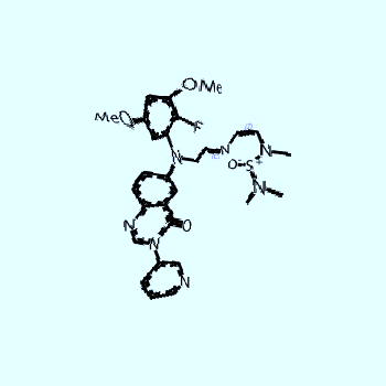 COc1cc(OC)c(F)c(N(C/C=N/C=C\N(C)[S+]([O-])N(C)C)c2ccc3ncn(-c4cccnc4)c(=O)c3c2)c1